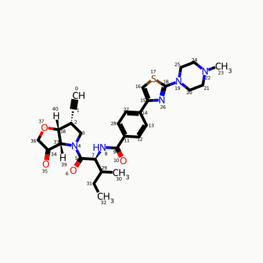 C#C[C@@H]1CN(C(=O)[C@@H](NC(=O)c2ccc(-c3csc(N4CCN(C)CC4)n3)cc2)C(C)CC)[C@@H]2C(=O)CO[C@H]12